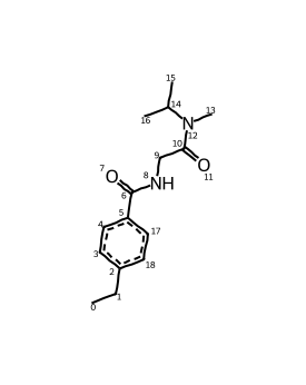 CCc1ccc(C(=O)NCC(=O)N(C)C(C)C)cc1